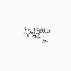 CCOC(=O)C(CCC(C)C)C(C#N)(C(=O)OCC)C1CCCC1